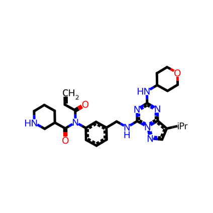 C=CC(=O)N(C(=O)C1CCCNC1)c1cccc(CNc2nc(NC3CCOCC3)nc3c(C(C)C)cnn23)c1